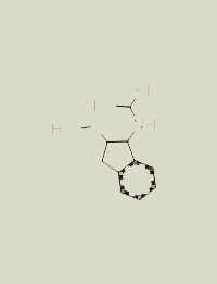 COC1Cc2ccccc2C1NC(C)C